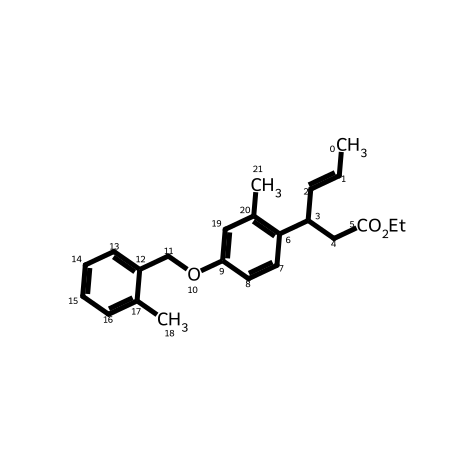 C/C=C/C(CC(=O)OCC)c1ccc(OCc2ccccc2C)cc1C